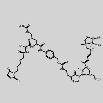 CCCCCN(CCNC(=O)OCc1ccc(NC(=O)[C@H](CCCNC(N)=O)NC(=O)[C@@H](NC(=O)CCCCCN2C(=O)C=CC2=O)C(C)C)cc1)C(=O)O[C@@H]1C[C@H](CC(=O)O)O[C@H](/C(C)=C/C=C/[C@@H](C)CC(C)(C)O[C@H](C)[C@@H](OC)[C@@H](C)O)[C@H]1C